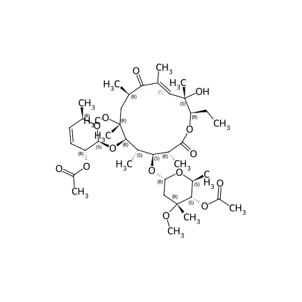 CC[C@H]1OC(=O)[C@H](C)[C@@H](O[C@H]2C[C@@](C)(OC)[C@@H](OC(C)=O)[C@H](C)O2)[C@H](C)[C@@H](O[C@@H]2O[C@H](C)C=C[C@H]2OC(C)=O)[C@](C)(OC)C[C@@H](C)C(=O)/C(C)=C/[C@]1(C)O